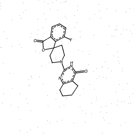 O=C1OC2(CCN(c3nc4c(c(=O)[nH]3)CCCC4)CC2)c2c(F)cccc21